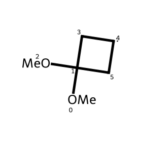 COC1(OC)C[CH]C1